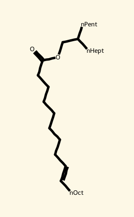 CCCCCCCCC=CCCCCCCCC(=O)OCC(CCCCC)CCCCCCC